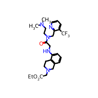 CCOC(=O)CN1CCc2c(cccc2NCC(=O)N(CCN(C)C)Cc2ncccc2C(F)(F)F)C1